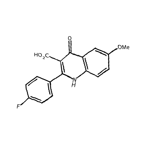 COc1ccc2[nH]c(-c3ccc(F)cc3)c(C(=O)O)c(=O)c2c1